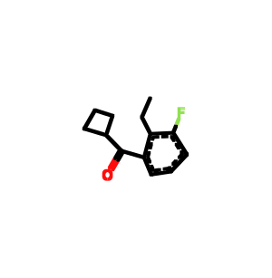 CCc1c(F)cccc1C(=O)C1CCC1